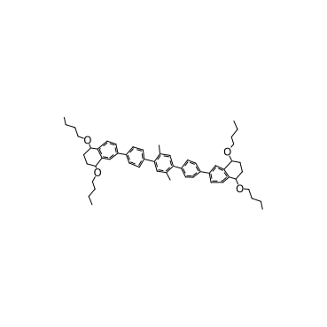 CCCCOC1CCC(OCCCC)c2cc(-c3ccc(-c4cc(C)c(-c5ccc(-c6ccc7c(c6)C(OCCCC)CCC7OCCCC)cc5)cc4C)cc3)ccc21